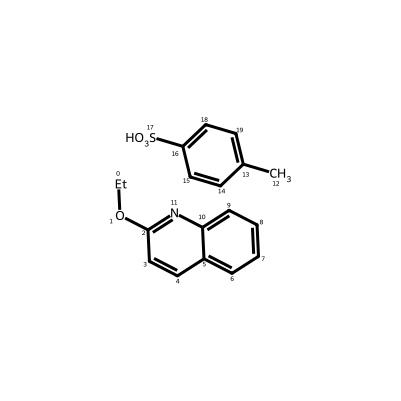 CCOc1ccc2ccccc2n1.Cc1ccc(S(=O)(=O)O)cc1